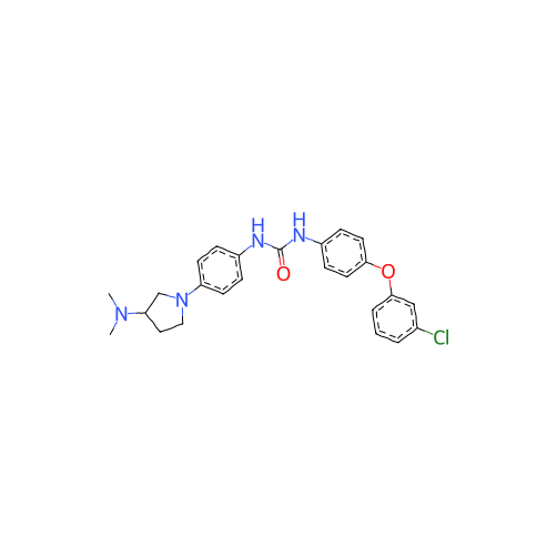 CN(C)C1CCN(c2ccc(NC(=O)Nc3ccc(Oc4cccc(Cl)c4)cc3)cc2)C1